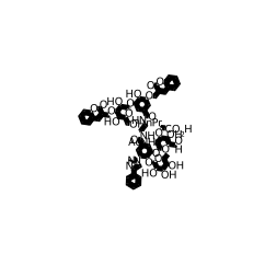 CCC[C@H](OC1C(NC(C)=O)[C@H](O[C@@H]2CC(C(=O)NCCNC(=O)C3CC(OCc4cc5ccccc5oc4=O)C(O)[C@H](O[C@@H]4OC(CO)[C@H](O)C(OCc5cc6ccccc6oc5=O)C4O)C3)CC(n3cc(-c4ccccc4)nn3)C2O[C@@H]2OC(C)[C@@H](O)C(O)C2O)OC(CO)[C@@H]1O)C(=O)O